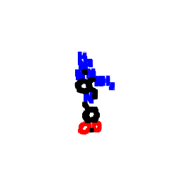 Nc1nc(N)c2c(ccc3c2ccn3Cc2ccc3c(c2)OCO3)n1